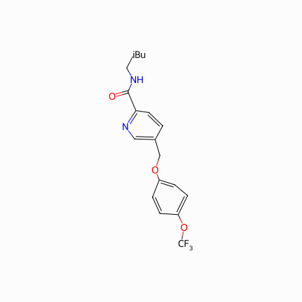 CCC(C)CNC(=O)c1ccc(COc2ccc(OC(F)(F)F)cc2)cn1